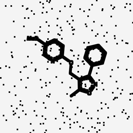 CSc1ccc(OCc2c(-c3ccccc3)noc2C)nc1